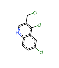 ClCc1cnc2ccc(Cl)cc2c1Cl